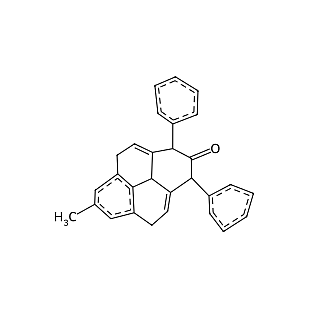 Cc1cc2c3c(c1)CC=C1C(c4ccccc4)C(=O)C(c4ccccc4)C(=CC2)C13